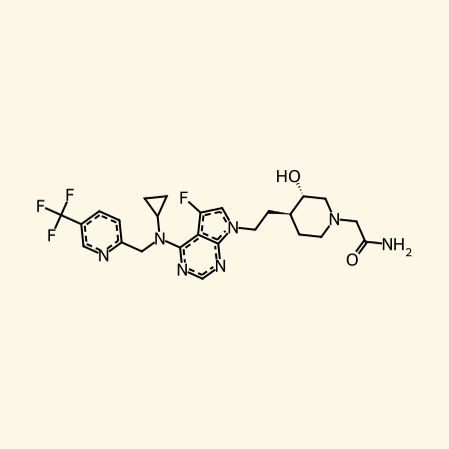 NC(=O)CN1CC[C@@H](CCn2cc(F)c3c(N(Cc4ccc(C(F)(F)F)cn4)C4CC4)ncnc32)[C@H](O)C1